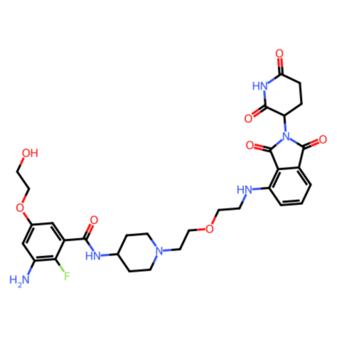 Nc1cc(OCCO)cc(C(=O)NC2CCN(CCOCCNc3cccc4c3C(=O)N(C3CCC(=O)NC3=O)C4=O)CC2)c1F